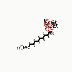 CCCCCCCCCCCCCCCCCCC(C)O[Si](OCC)(OCC)OCC